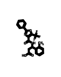 Cc1ccccc1C(CC(=O)O)NC(=O)c1nc(-c2ccccc2)oc1C(F)(F)F